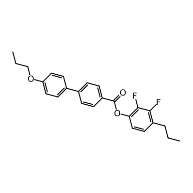 CCCOc1ccc(-c2ccc(C(=O)Oc3ccc(CCC)c(F)c3F)cc2)cc1